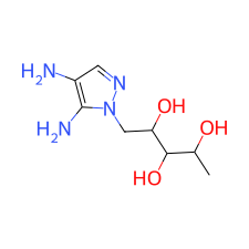 CC(O)C(O)C(O)Cn1ncc(N)c1N